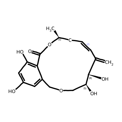 C=C1/C=C\C[C@H](C)OC(=O)c2c(O)cc(O)cc2COC[C@H](O)[C@@H]1O